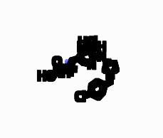 Cl.Cl.O=C(NO)/C(F)=C/c1ccc(N[C@@H]2CCN(Cc3ccc(Cl)cc3)C2)nc1